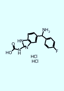 Cl.Cl.NC(c1ccc(F)cc1)c1ccc2[nH]c(NC(=O)O)nc2c1